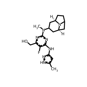 Cc1cc(Nc2nc(N(C)C3C[C@H]4CCC5C[C@@H](C3)N54)nc(CO)c2F)n[nH]1